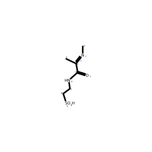 C/N=C(\C)C(=O)NCCS(=O)(=O)O